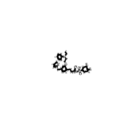 CCN(CCOc1cc(Cn2cccn2)ccc1CCC(=O)NS(=O)(=O)c1ccc(F)c(F)c1)c1ccccc1